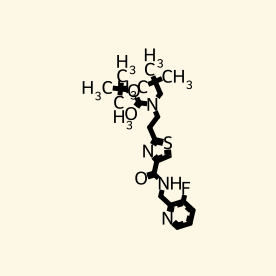 CC(C)(C)CN(CCc1nc(C(=O)NCc2ncccc2F)cs1)C(=O)OC(C)(C)C